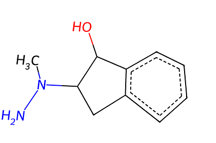 CN(N)C1Cc2ccccc2C1O